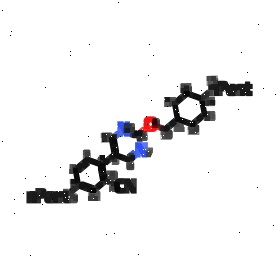 CCCCCc1ccc(-c2cnc(OCC3CCC(CCCCC)CC3)nc2)c(C#N)c1